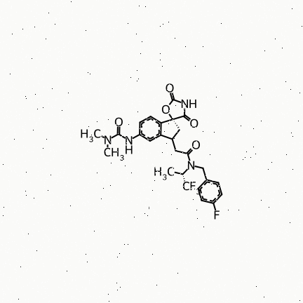 C[C@H](N(Cc1ccc(F)cc1)C(=O)CC1C[C@@]2(OC(=O)NC2=O)c2ccc(NC(=O)N(C)C)cc21)C(F)(F)F